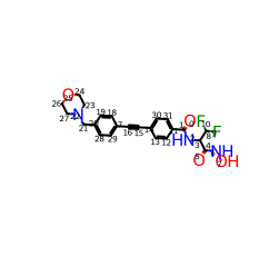 O=C(NC(C(=O)NO)C(F)F)c1ccc(C#Cc2ccc(CN3CCOCC3)cc2)cc1